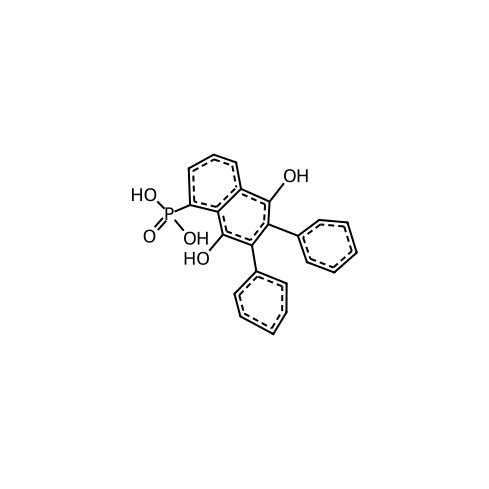 O=P(O)(O)c1cccc2c(O)c(-c3ccccc3)c(-c3ccccc3)c(O)c12